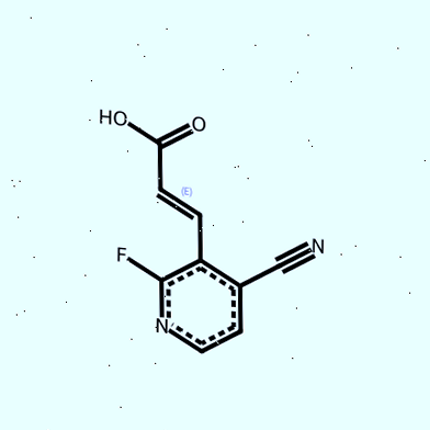 N#Cc1ccnc(F)c1/C=C/C(=O)O